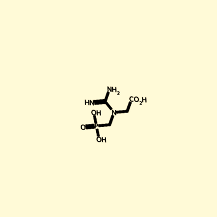 N=C(N)N(CC(=O)O)CP(=O)(O)O